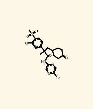 CC(CC1CCC(=O)CC1)(C(=O)Nc1cnc(Br)cn1)c1ccc(S(C)(=O)=O)c(Cl)c1